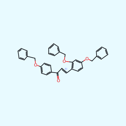 O=C(/C=C/c1ccc(OCc2ccccc2)cc1OCc1ccccc1)c1ccc(OCc2ccccc2)cc1